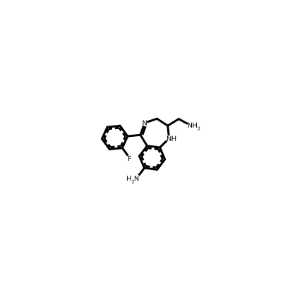 NCC1CN=C(c2ccccc2F)c2cc(N)ccc2N1